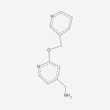 NCc1ccnc(OCc2cccnc2)c1